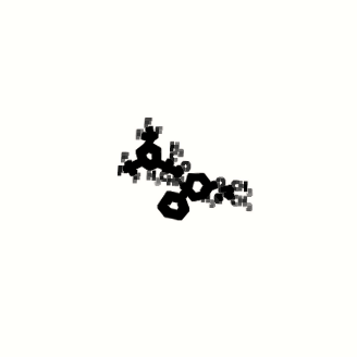 CC(C)(C(=O)NC1(c2ccccc2)CC=C(O[Si](C)(C)C)CC1)c1cc(C(F)(F)F)cc(C(F)(F)F)c1